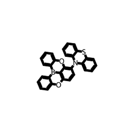 c1ccc2c(c1)Oc1ccc(N3c4ccccc4Sc4ccccc43)c3c1B2c1ccccc1O3